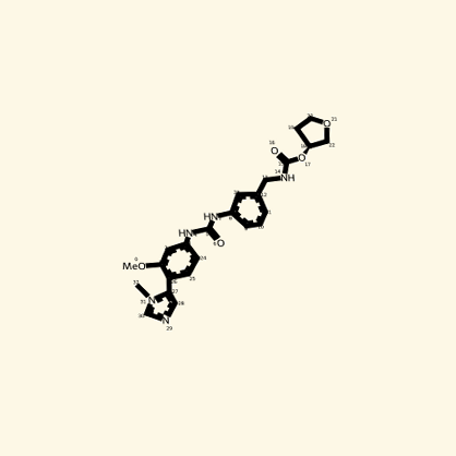 COc1cc(NC(=O)Nc2cccc(CNC(=O)O[C@H]3CCOC3)c2)ccc1-c1cncn1C